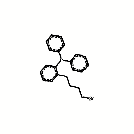 BrCCCCc1ccccc1P(c1ccccc1)c1ccccc1